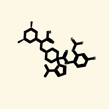 CC(C)c1ccnn1C1(C(=O)Nc2ccc(Cl)cc2OC(F)F)CCN(CC(C(=O)O)C2C[C@@H](C)O[C@@H](C)C2)CC1